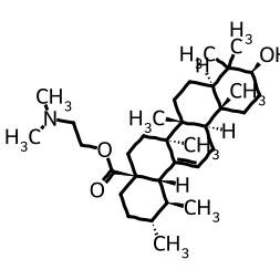 C[C@H]1[C@H](C)CC[C@]2(C(=O)OCCN(C)C)CC[C@]3(C)C(=CC[C@@H]4[C@@]5(C)CC[C@H](O)C(C)(C)[C@@H]5CC[C@]43C)[C@H]12